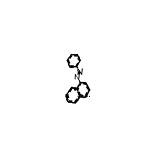 [c]1ccc(N=Nc2ccccc2)c2ccccc12